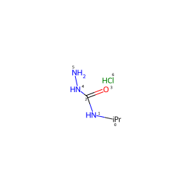 CC(C)NC(=O)NN.Cl